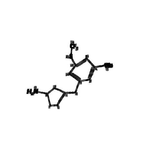 CC(C)(C)c1cc(CC2CCC(N)C2)cc(SC(F)(F)F)c1